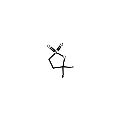 O=S1(=O)CCC(F)(F)O1